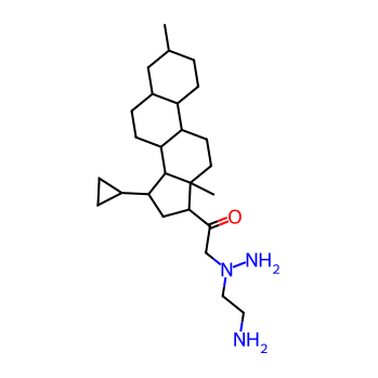 CC1CCC2C(CCC3C2CCC2(C)C(C(=O)CN(N)CCN)CC(C4CC4)C32)C1